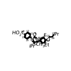 CCc1cc([C@]2(C)NC(=O)N(c3ccc(C(=O)O)cc3)C=C2C(C)C)cc(F)c1OCCC(C)C